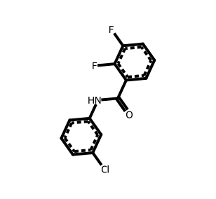 O=C(Nc1cccc(Cl)c1)c1cccc(F)c1F